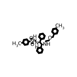 Cc1ccc(COCCN[C@@H](c2ccccc2)[C@@H](NNS(=O)(=O)c2ccc(C)cc2)c2ccccc2)cc1